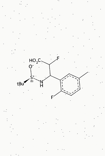 Cc1ccc(F)c(C(N[S@+]([O-])C(C)(C)C)C(F)C(=O)O)c1